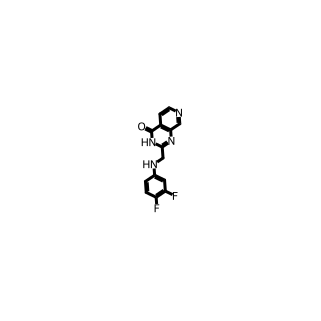 O=c1[nH]c(CNc2ccc(F)c(F)c2)nc2cnccc12